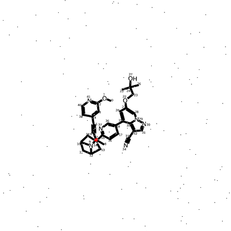 COc1cc(C#CC(C)N2C3CC2CN(c2ccc(-c4cc(OCC(C)(C)O)cn5ncc(C#N)c45)cn2)C3)ccn1